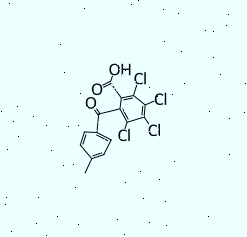 Cc1ccc(C(=O)c2c(Cl)c(Cl)c(Cl)c(Cl)c2C(=O)O)cc1